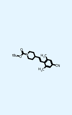 Cc1cc(C#N)cc(C)c1C=CC1CCN(C(=O)OC(C)(C)C)CC1